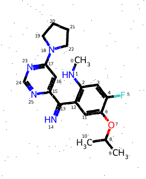 CNc1cc(F)c(OC(C)C)cc1C(=N)c1cc(N2CCCC2)ncn1